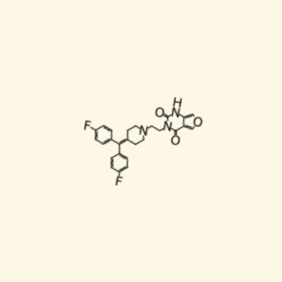 O=c1[nH]c2cocc2c(=O)n1CCN1CCC(=C(c2ccc(F)cc2)c2ccc(F)cc2)CC1